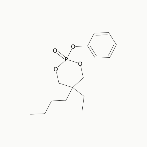 CCCCC1(CC)COP(=O)(Oc2ccccc2)OC1